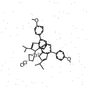 COc1ccc(-c2cccc3c2C=C(C(C)C)[CH]3[Zr+2]2([CH]3C(C(C)C)=Cc4c(-c5ccc(OC)cc5)cccc43)[CH2]C[CH2]2)cc1.[Cl-].[Cl-]